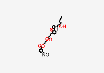 CC#CCC(C)[C@@H](O)/C=C/[C@@H]1CCC2Oc3c(CCCC(=O)OCCCCOC(=O)c4cccc(CN=O)c4)cccc3[C@H]21